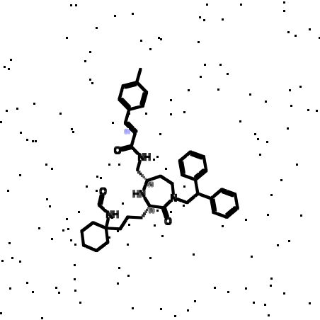 Cc1ccc(/C=C/C(=O)NC[C@@H]2CCN(CC(c3ccccc3)c3ccccc3)C(=O)[C@H](CCCC3(NC=O)CCCCC3)N2)cc1